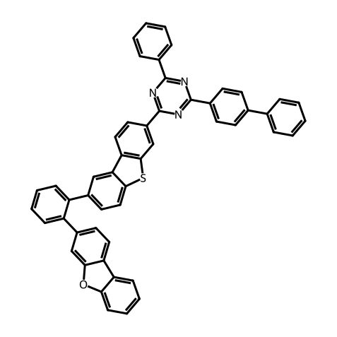 c1ccc(-c2ccc(-c3nc(-c4ccccc4)nc(-c4ccc5c(c4)sc4ccc(-c6ccccc6-c6ccc7c(c6)oc6ccccc67)cc45)n3)cc2)cc1